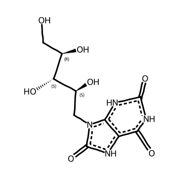 O=c1[nH]c(=O)c2[nH]c(=O)n(C[C@H](O)[C@H](O)[C@H](O)CO)c2[nH]1